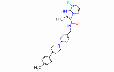 CC1=C(C(=O)NCc2ccc(N3CCC(c4ccc(C)cc4)CC3)cc2)N2C=CC=C(F)C2N1